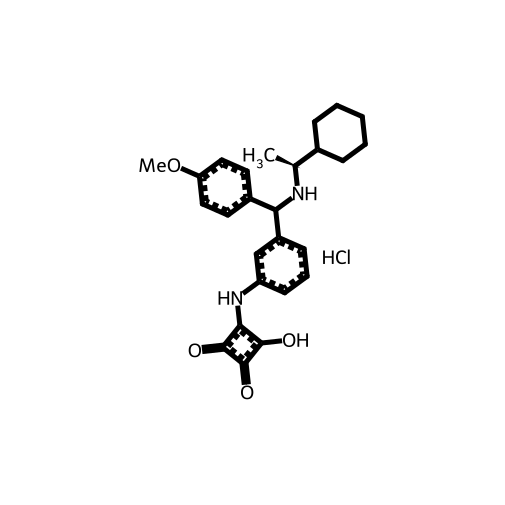 COc1ccc(C(N[C@@H](C)C2CCCCC2)c2cccc(Nc3c(O)c(=O)c3=O)c2)cc1.Cl